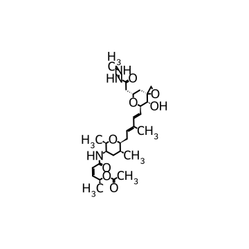 CNNC(=O)C[C@@H]1C[C@@]2(CO2)[C@H](O)[C@@H](/C=C/C(C)=C/C[C@@H]2O[C@H](C)[C@H](NC(=O)/C=C\[C@H](C)OC(C)=O)C[C@@H]2C)O1